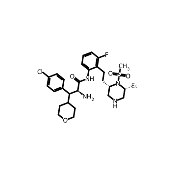 CC[C@@H]1CNC[C@H](CCc2c(F)cccc2NC(=O)[C@@H](N)C(c2ccc(Cl)cc2)C2CCOCC2)N1S(C)(=O)=O